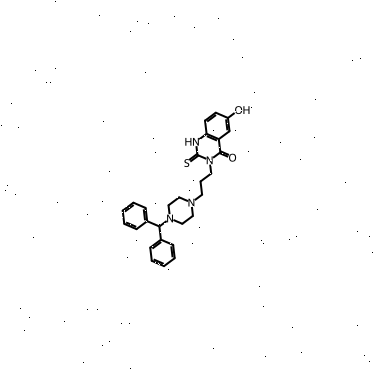 O=c1c2cc(O)ccc2[nH]c(=S)n1CCCN1CCN(C(c2ccccc2)c2ccccc2)CC1